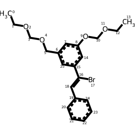 CCOCOCc1cc(OCOCC)cc(C(Br)=Cc2c[c]ccc2)c1